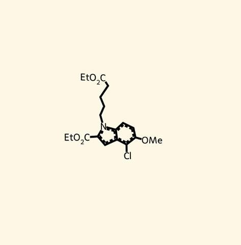 CCOC(=O)CCCCn1c(C(=O)OCC)cc2c(Cl)c(OC)ccc21